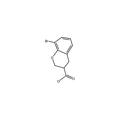 O=[N+]([O-])C1COc2c(Br)cccc2C1